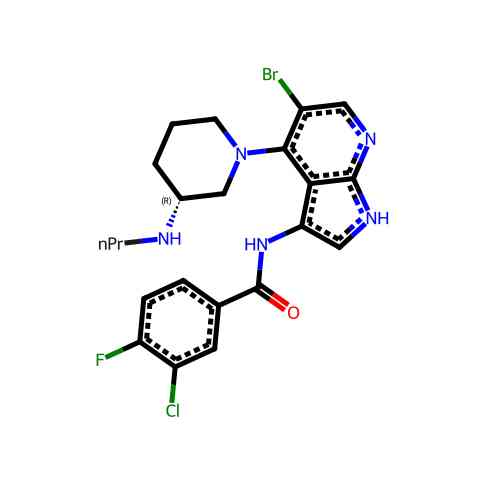 CCCN[C@@H]1CCCN(c2c(Br)cnc3[nH]cc(NC(=O)c4ccc(F)c(Cl)c4)c23)C1